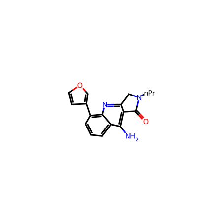 CCCN1Cc2nc3c(-c4ccoc4)cccc3c(N)c2C1=O